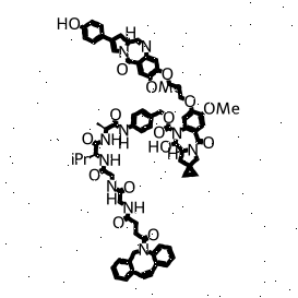 COc1cc2c(cc1OCCCOc1cc3c(cc1OC)C(=O)N1CC4(CC4)C[C@H]1C(O)N3C(=O)OCc1ccc(NC(=O)[C@H](C)NC(=O)[C@@H](NC(=O)CNC(=O)CNC(=O)CCC(=O)N3Cc4ccccc4C#Cc4ccccc43)C(C)C)cc1)N=C[C@@H]1CC(c3ccc(O)cc3)=CN1C2=O